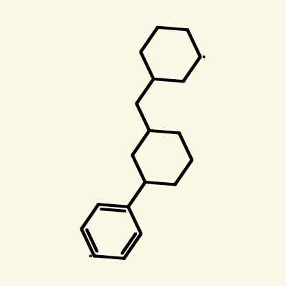 [c]1ccc(C2CCCC(CC3C[CH]CCC3)C2)cc1